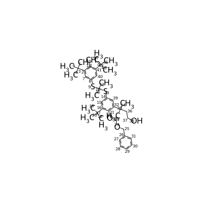 Cc1c(C(C)(C)C)cc(SC(C)(C)Sc2cc(C(C)(C)C)c(OCOCc3ccccc3)c(C(C)(C)CCO)c2)cc1C(C)(C)C